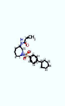 C=CC(=O)NC1CCCCN(S(=O)(=O)c2ccc(C3CCCCC3)cc2)C1